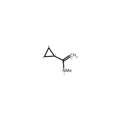 C=C(NC)C1CC1